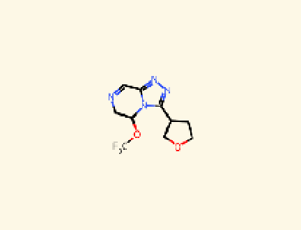 FC(F)(F)OC1CN=Cc2nnc(C3CCOC3)n21